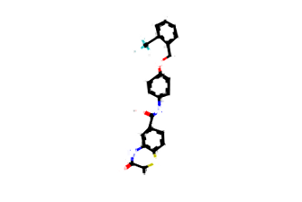 CC1Sc2ccc(C(=O)Nc3ccc(OCc4ccccc4C(F)(F)F)cc3)cc2NC1=O